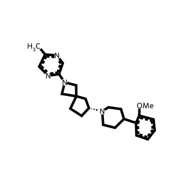 COc1ccccc1C1CCN([C@@H]2CCC3(C2)CN(c2cnc(C)cn2)C3)CC1